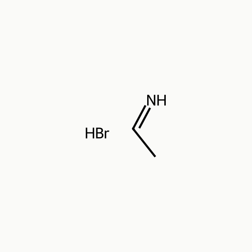 Br.CC=N